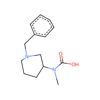 CN(C(=O)O)C1CCCN(Cc2ccccc2)C1